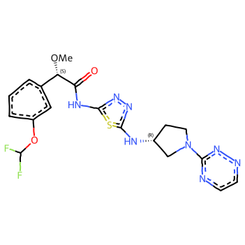 CO[C@H](C(=O)Nc1nnc(N[C@@H]2CCN(c3nccnn3)C2)s1)c1cccc(OC(F)F)c1